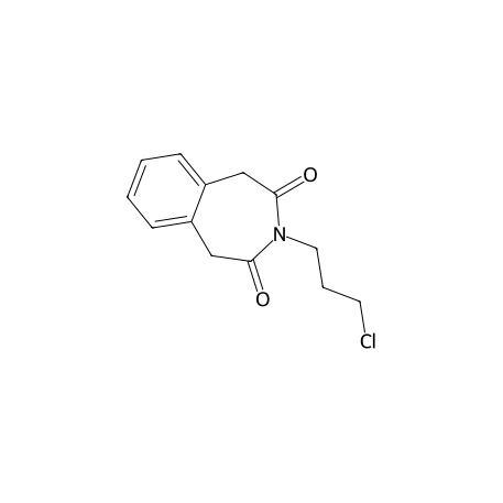 O=C1Cc2ccccc2CC(=O)N1CCCCl